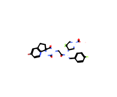 CC(C)(C)OC(=O)N1CC(N(Cc2ccc(F)cc2)C(=O)CN2C(=O)NC3(CCc4cc(Br)ccc43)C2=O)C(F)(F)C1